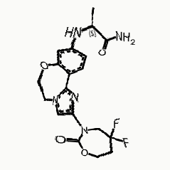 C[C@H](Nc1ccc2c(c1)OCCn1cc(N3CC(F)(F)CCOC3=O)nc1-2)C(N)=O